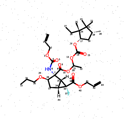 C=CCOC(=O)N[C@@]1(C(=O)OC(C)OC(=O)O[C@H]2C[C@@H](C)C(C)(C)[C@@]2(C)CC)[C@H](OCCC)C[C@@H]2[C@H]1[C@@]2(F)C(=O)OCC=C